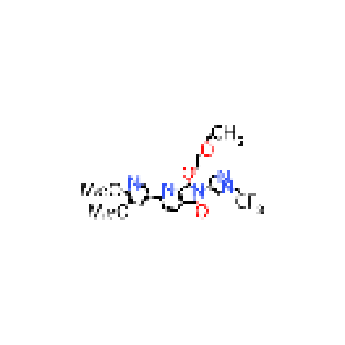 C=COCCO[C@@H]1c2nc(-c3cnc(OC)c(OC)c3)ccc2C(=O)N1c1cnn(CC(F)(F)F)c1